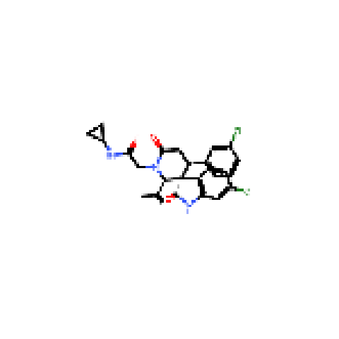 C=C(C)[C@H]1N(CC(=O)NC2CC2)C(=O)C[C@@H](c2cccc(Cl)c2)[C@]12C(=O)Nc1cc(Cl)ccc12